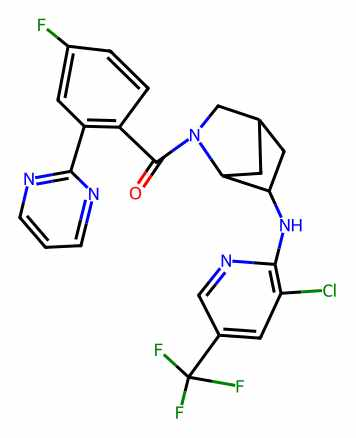 O=C(c1ccc(F)cc1-c1ncccn1)N1CC2CC(Nc3ncc(C(F)(F)F)cc3Cl)C1C2